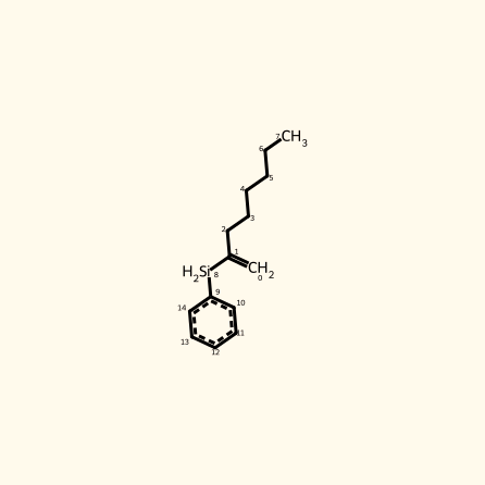 C=C(CCCCCC)[SiH2]c1ccccc1